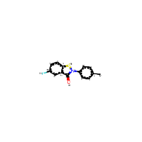 Cc1ccc(-n2sc3ccc(F)cc3c2=O)cc1